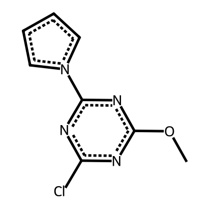 COc1nc(Cl)nc(-n2cccc2)n1